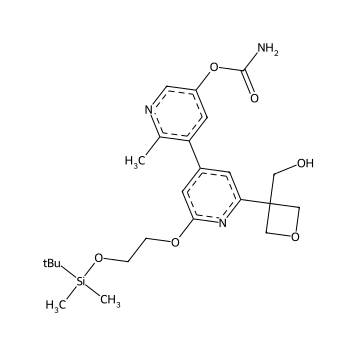 Cc1ncc(OC(N)=O)cc1-c1cc(OCCO[Si](C)(C)C(C)(C)C)nc(C2(CO)COC2)c1